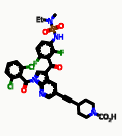 CCN(C)S(=O)(=O)Nc1ccc(F)c(C(=O)c2cn(C(=O)c3c(Cl)cccc3Cl)c3ncc(C#CC4CCN(C(=O)O)CC4)cc23)c1F